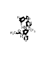 C=CC(=O)Nc1cc(Nc2cc(N3OCCC3c3cc(F)cc(F)c3)ncn2)c(OC)cc1N1CCOCC1